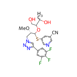 CO[C@@H](Cn1cc(-c2cc(F)c(F)c(F)c2)nn1)C(OC(CO)[C@@H](C)O)Sc1cncc(C#N)c1